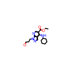 CCOC(=O)c1cnc2c(cnn2CCC=O)c1NC1CCCCC1